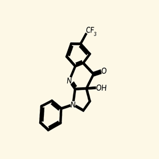 O=C1c2cc(C(F)(F)F)ccc2N=C2N(c3ccccc3)CCC12O